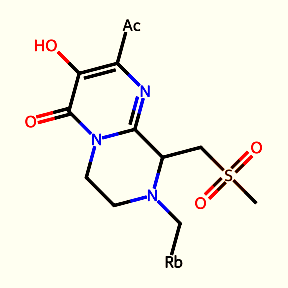 CC(=O)c1nc2n(c(=O)c1O)CCN([CH2][Rb])C2CS(C)(=O)=O